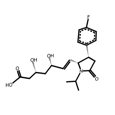 CC(C)N1C(=O)C[C@@H](c2ccc(F)cc2)[C@H]1/C=C/[C@@H](O)C[C@@H](O)CC(=O)O